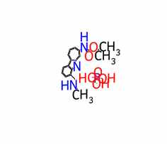 CCNCc1cccc2c3cccc(NC(=O)OC(C)C)cc-3nc12.O=P(O)(O)O